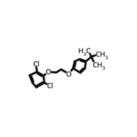 CC(C)(C)c1ccc(OCCOc2c(Cl)cccc2Cl)cc1